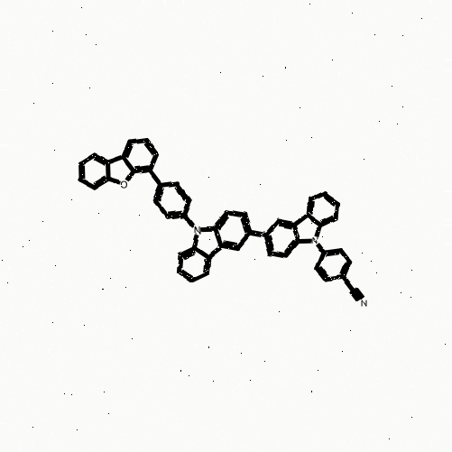 N#Cc1ccc(-n2c3ccccc3c3cc(-c4ccc5c(c4)c4ccccc4n5-c4ccc(-c5cccc6c5oc5ccccc56)cc4)ccc32)cc1